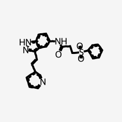 O=C(CCS(=O)(=O)c1ccccc1)Nc1ccc2[nH]nc(C=Cc3cccnc3)c2c1